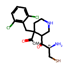 COC(=O)C1(Cc2c(Cl)cccc2Cl)CCNCC1C(=O)[C@@H](N)CS